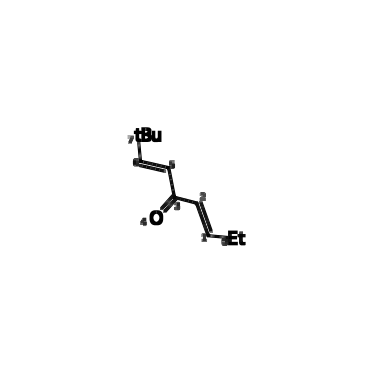 CCC=CC(=O)C=CC(C)(C)C